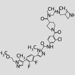 CCN(CCN(C)CC1CNC1)C(=O)C1CCN(C(=O)c2ccc(NC(=O)c3ncc(-c4ccc(-c5cnn(CCOC)c5C)c(F)c4F)n3C)cc2Cl)CC1